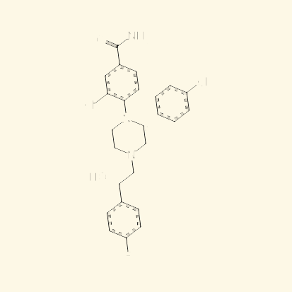 NC(=O)c1ccc(N2CCN(C[C@@H](O)c3ccc(F)cc3)C[C@H]2c2ccc(Cl)cc2)c(Cl)c1